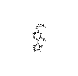 COc1cc(F)c(-c2ncno2)cn1